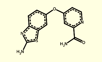 NC(=O)c1cc(Oc2ccc3nc(N)sc3c2)ccn1